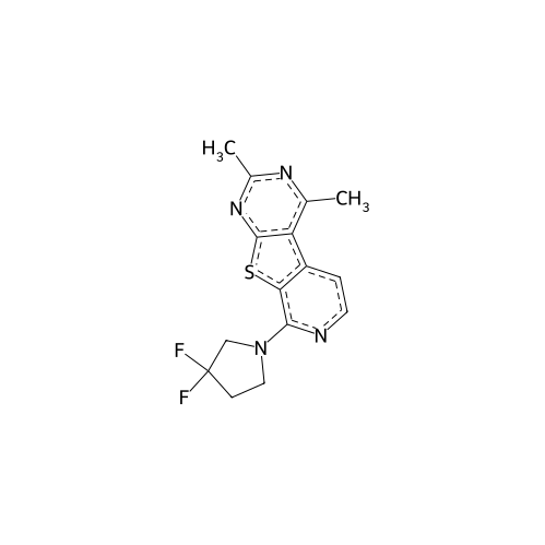 Cc1nc(C)c2c(n1)sc1c(N3CCC(F)(F)C3)nccc12